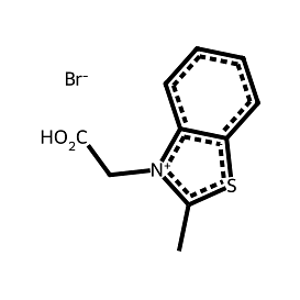 Cc1sc2ccccc2[n+]1CC(=O)O.[Br-]